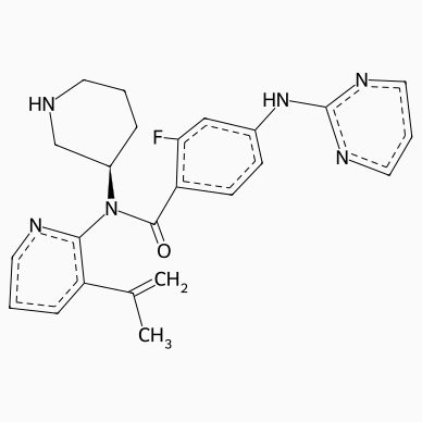 C=C(C)c1cccnc1N(C(=O)c1ccc(Nc2ncccn2)cc1F)[C@@H]1CCCNC1